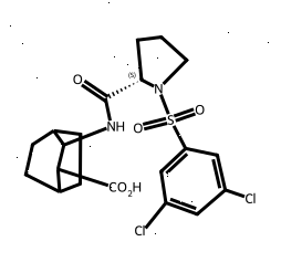 O=C(O)C1C2CCC(CC2)C1NC(=O)[C@@H]1CCCN1S(=O)(=O)c1cc(Cl)cc(Cl)c1